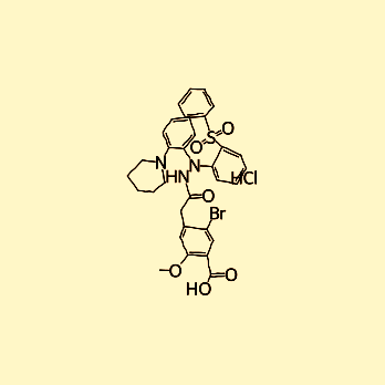 COc1cc(CC(=O)NN(c2ccccc2N2CCCCC2)c2ccccc2S(=O)(=O)c2ccccc2)c(Br)cc1C(=O)O.Cl